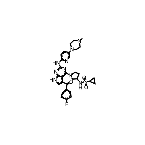 CN1CCN(c2ccc(Nc3nc(N4CCC(NS(=O)(=O)C5CC5)C4)c4c(C(=O)c5ccc(F)cc5)c[nH]c4n3)nc2)CC1